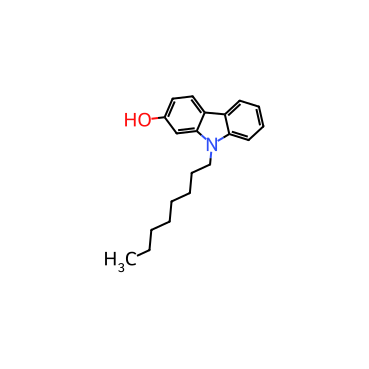 CCCCCCCCn1c2ccccc2c2ccc(O)cc21